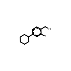 Fc1cc(C2CCCCC2)ccc1CCl